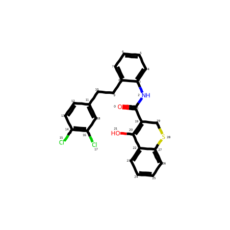 O=C(Nc1ccccc1CCc1ccc(Cl)c(Cl)c1)C1=C(O)c2ccccc2SC1